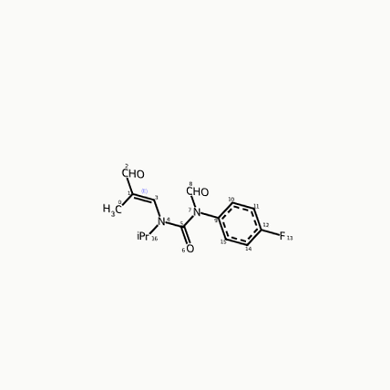 C/C(C=O)=C\N(C(=O)N(C=O)c1ccc(F)cc1)C(C)C